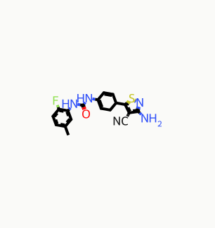 Cc1ccc(F)c(NC(=O)NC2=CCC(c3snc(N)c3C#N)C=C2)c1